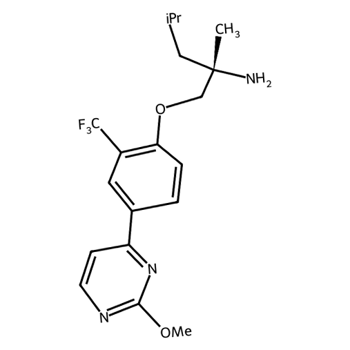 COc1nccc(-c2ccc(OC[C@@](C)(N)CC(C)C)c(C(F)(F)F)c2)n1